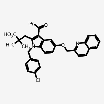 CC(C)C(=O)c1c(CC(C)(C)C(=O)O)n(Cc2ccc(Cl)cc2)c2ccc(OCc3ccc4ccccc4n3)cc12